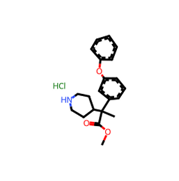 COC(=O)C(C)(c1cccc(Oc2ccccc2)c1)C1CCNCC1.Cl